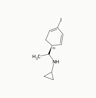 CC(NC1CC1)[C@@H]1C=CC(I)=CC1